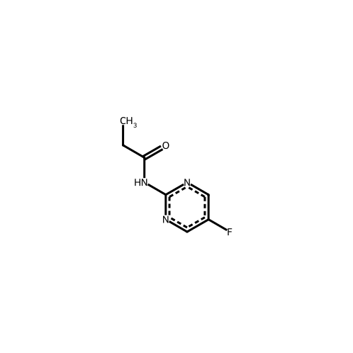 CCC(=O)Nc1ncc(F)cn1